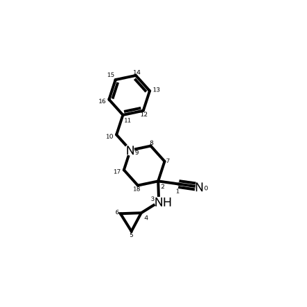 N#CC1(NC2CC2)CCN(Cc2ccccc2)CC1